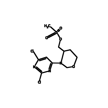 CS(=O)(=O)OCC1CCOCN1c1cc(Cl)nc(Cl)n1